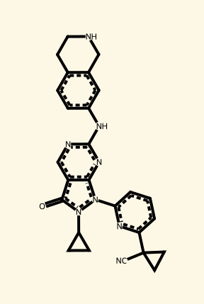 N#CC1(c2cccc(-n3c4nc(Nc5ccc6c(c5)CNCC6)ncc4c(=O)n3C3CC3)n2)CC1